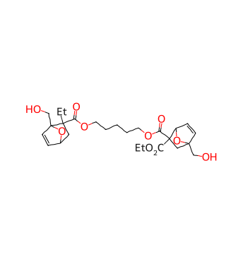 CCOC(=O)C1(C(=O)OCCCCCOC(=O)C2(CC)CC3C=CC2(CO)O3)CC2(CO)C=CC1O2